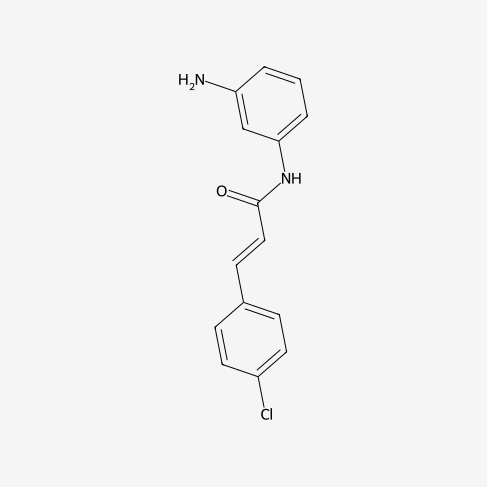 Nc1cccc(NC(=O)C=Cc2ccc(Cl)cc2)c1